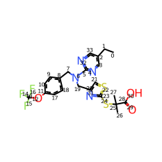 CCc1cnc(N(Cc2ccc(OC(F)(F)F)cc2)Cc2csc(SC(C)(C)C(=O)O)n2)nc1